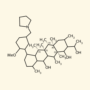 COC1CCC(CN2CCCC2)CC1C1CCC(C)C2C(O)C3C(C)[C@]4(C)C(O)C(C(C)O)C(C)C[C@]4(C)[C@@H](C)[C@]3(C)[C@@H](C)C12